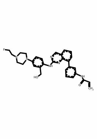 C=CC(=O)Nc1cccc(-c2cccc3cnc(Nc4ccc(N5CCN(CCF)CC5)cc4CO)nc23)c1